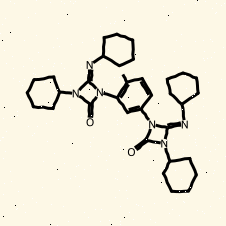 Cc1ccc(N2C(=O)N(C3CCCCC3)/C2=N/C2CCCCC2)cc1N1C(=O)N(C2CCCCC2)/C1=N/C1CCCCC1